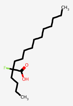 CCCCCCCCCCCC(F)(CCCC)C(=O)O